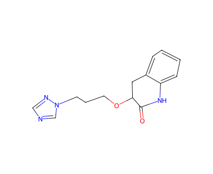 O=C1Nc2ccccc2CC1OCCCn1cncn1